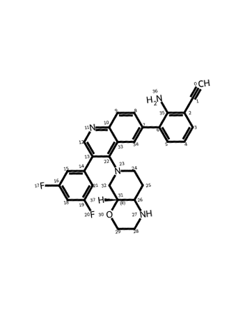 C#Cc1cccc(-c2ccc3ncc(-c4cc(F)cc(F)c4)c(N4CCC5NCCO[C@@H]5C4)c3c2)c1N